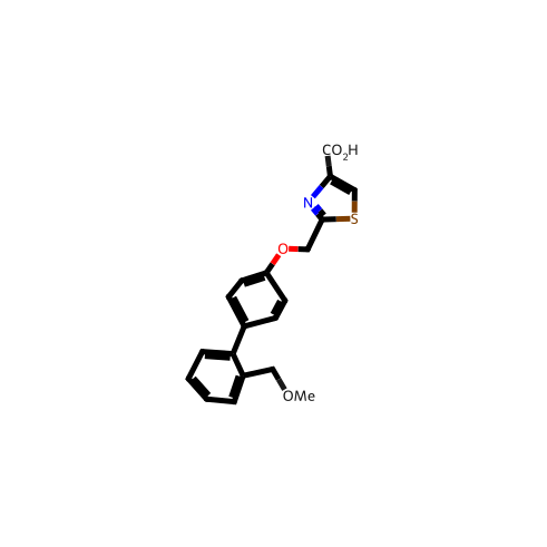 COCc1ccccc1-c1ccc(OCc2nc(C(=O)O)cs2)cc1